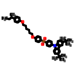 CCC(C)c1ccc(OCCCCCCOc2ccc(S(=O)(=O)c3ccc(-n4c5ccc(C(C)(C)C)cc5c5cc(C(C)(C)C)ccc54)cc3)cc2)cc1